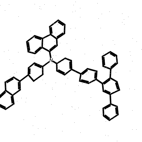 C1=CC(N(C2=CC=C(c3ccc4ccccc4c3)CC2)c2cc3ccccc3c3ccccc23)CC=C1c1ccc(-c2cc(-c3ccccc3)ccc2-c2ccccc2)cc1